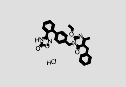 CCOc1nc(C)c(Cc2ccccc2)c(=O)n1Cc1ccc(-c2ccccc2-c2noc(=O)[nH]2)cc1.Cl